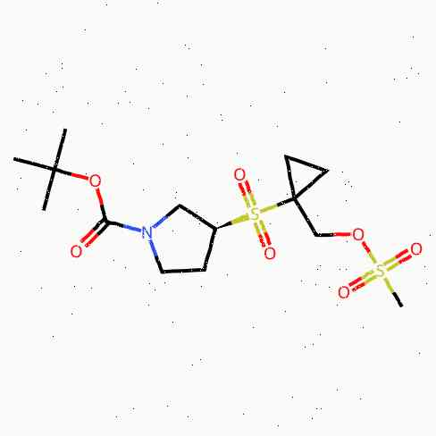 CC(C)(C)OC(=O)N1CC[C@H](S(=O)(=O)C2(COS(C)(=O)=O)CC2)C1